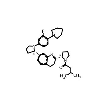 CC(C)CC(=O)N1CCC[C@H]1C1=Nc2cc([C@@H]3CCCN3c3ccc(N4CCCCC4)c(F)c3)ccc2CC1